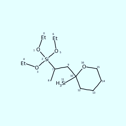 CCO[Si](OCC)(OCC)C(C)CC1([SiH3])CCCCO1